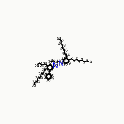 CCCCCCCCc1ccc(N=CC(CC)=Nc2cc(CCCC)c(CCCCCCCC)c(-c3ccccc3)c2)cc1CCCCCCCC